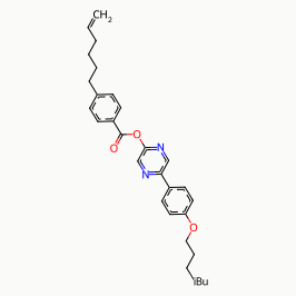 C=CCCCCc1ccc(C(=O)Oc2cnc(-c3ccc(OCCCC(C)CC)cc3)cn2)cc1